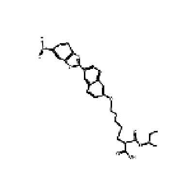 CCC(C)OC(=O)C(CCCCCOc1ccc2cc(-c3nc4ccc([N+](=O)[O-])cc4o3)ccc2c1)C(=O)O